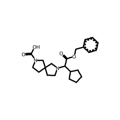 O=C(OCc1ccccc1)C(C1CCCC1)N1CCC2(CCN(C(=O)O)C2)C1